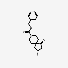 CC[C@@H]1CC(=O)C2(CCN(C(=O)OCc3ccccc3)CC2)C1